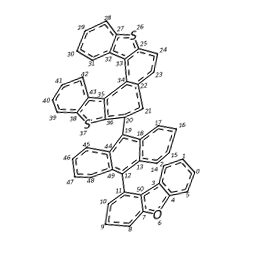 c1ccc2c(c1)oc1cccc(-c3c4ccccc4c(-c4cc5ccc6sc7ccccc7c6c5c5c4sc4ccccc45)c4ccccc34)c12